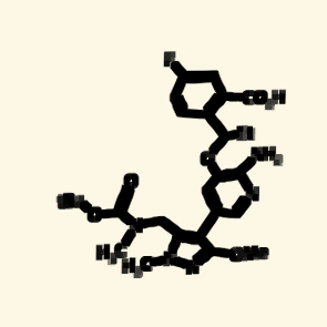 CCC(Oc1cc(-c2c(OC)nn(C)c2CN(C)C(=O)OC(C)(C)C)cnc1N)c1ccc(F)cc1C(=O)O